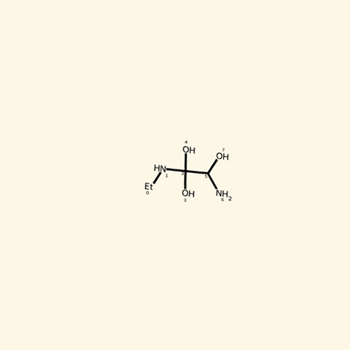 CCNC(O)(O)C(N)O